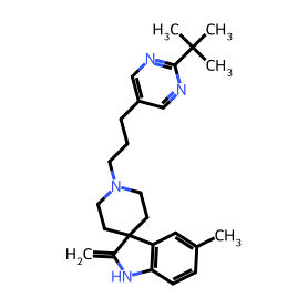 C=C1Nc2ccc(C)cc2C12CCN(CCCc1cnc(C(C)(C)C)nc1)CC2